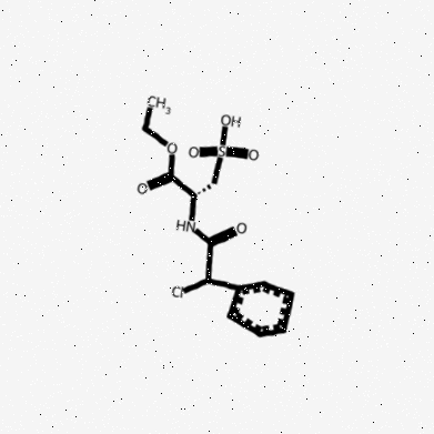 CCOC(=O)[C@H](CS(=O)(=O)O)NC(=O)C(Cl)c1ccccc1